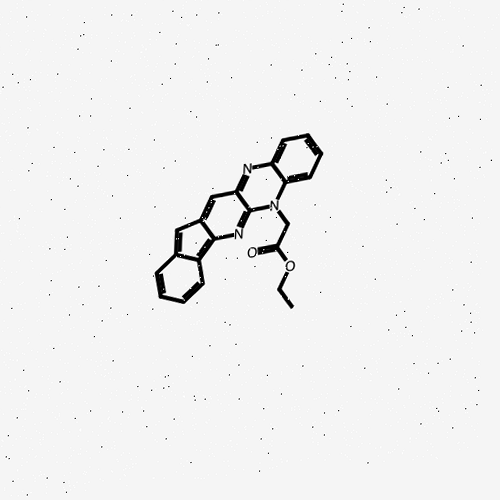 CCOC(=O)Cn1c2ccccc2nc2cc3cc4ccccc4c3nc21